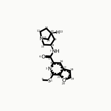 CSc1nc(C(=O)N[C@@H]2C[C@H]3CCN(C3)C2)cc2ccoc12